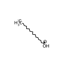 CCCCCCCCCCCCCCCC(=O)O.[C]